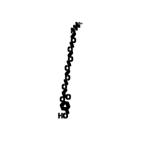 [N-]=[N+]=NCCOCCOCCOCCOCCOCCOCCC(=O)Oc1ccc(CO)cc1